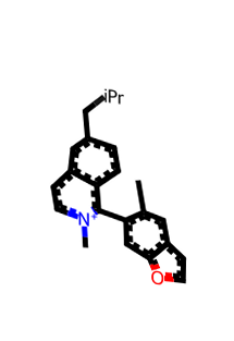 Cc1cc2ccoc2cc1-c1c2ccc(CC(C)C)cc2cc[n+]1C